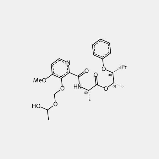 COc1ccnc(C(=O)N[C@@H](C)C(=O)O[C@@H](C)[C@H](Oc2ccccc2)C(C)C)c1OCOC(C)O